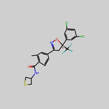 Cc1cc(C2=NO[C@@](c3cc(Cl)cc(Cl)c3)(C(F)(F)F)C2)ccc1C(=O)NC1CSC1